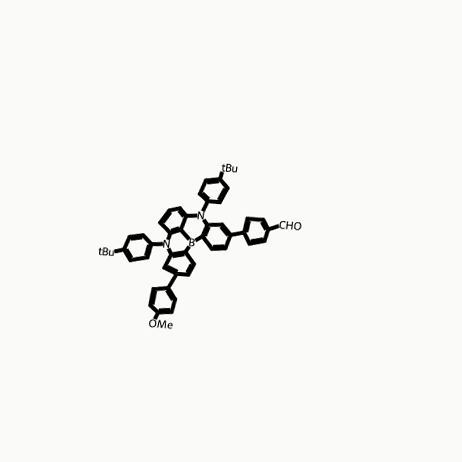 COc1ccc(-c2ccc3c(c2)N(c2ccc(C(C)(C)C)cc2)c2cccc4c2B3c2ccc(-c3ccc(C=O)cc3)cc2N4c2ccc(C(C)(C)C)cc2)cc1